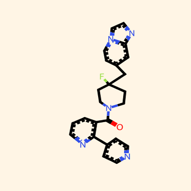 O=C(c1cccnc1-c1ccncc1)N1CCC(F)(Cc2ccn3ccnc3c2)CC1